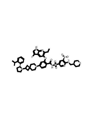 CCc1nc2[nH]cc(F)c2cc1Oc1cc(N2CCC3(CC2)CC(N2CCC[C@H]2c2ccccc2C(C)C)C3)ccc1C(=O)NS(=O)(=O)c1cnc(NCC2CCOCC2)c([N+](=O)[O-])c1